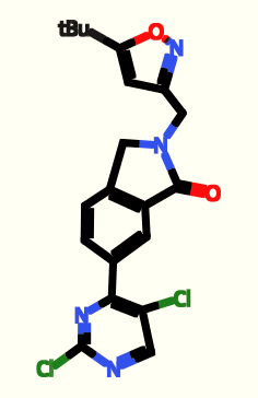 CC(C)(C)c1cc(CN2Cc3ccc(-c4nc(Cl)ncc4Cl)cc3C2=O)no1